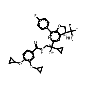 N[C@@]1(C(F)(F)F)COc2c1cc([C@@](O)(CNC(=O)c1ccc(OC3CC3)c(OC3CC3)c1)C1CC1)nc2-c1ccc(F)cc1